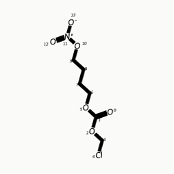 O=C(OCCl)OCCCCO[N+](=O)[O-]